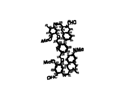 CNc1ccc2c(c1)CN(C)C(/C=N\c1cc(OCc3cccc(COc4cc(/N=C\C5Cc6ccccc6CN5C=O)c(C)cc4OC)n3)c(OC)cc1C=O)C2